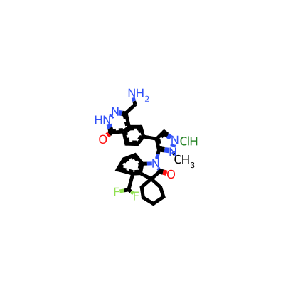 Cl.Cn1ncc(-c2ccc3c(=O)[nH]nc(CN)c3c2)c1N1C(=O)C2(CCCCC2)c2c(C(F)F)cccc21